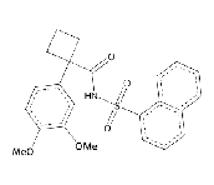 COc1ccc(C2(C(=O)NS(=O)(=O)c3cccc4ccccc34)CCC2)cc1OC